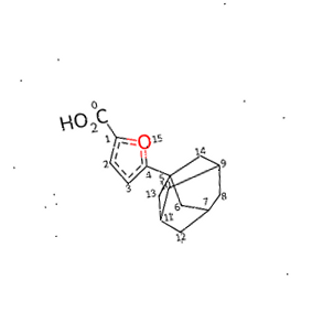 O=C(O)c1ccc(C23CC4CC(CC(C4)C2)C3)o1